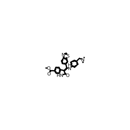 COC(=O)c1ccc2c(c1)NC(=O)/C2=C(\Nc1ccc(CN(C)C)cc1)c1ccc2ncsc2c1